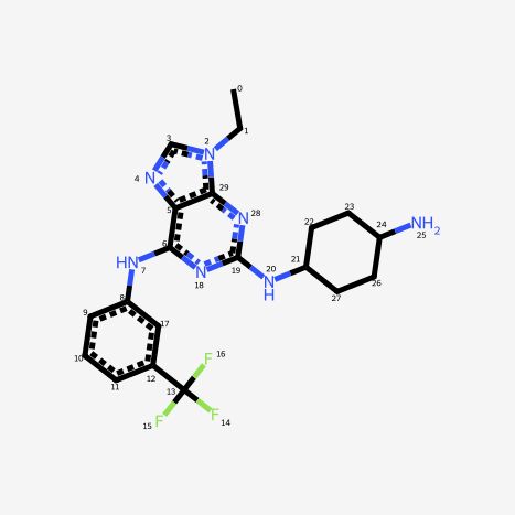 CCn1cnc2c(Nc3cccc(C(F)(F)F)c3)nc(NC3CCC(N)CC3)nc21